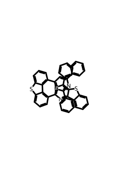 c1ccc(-c2cc(-c3cccc4sc5cccc(-c6nc(-c7ccccc7)c7sc8ccccc8c7n6)c5c34)nc(-c3ccccc3)n2)cc1